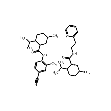 CC1CCC(C(C)C)C(C(=O)NCCc2ccccn2)C1.Cc1cc(C#N)ccc1NC(=O)C1CC(C)CCC1C(C)C